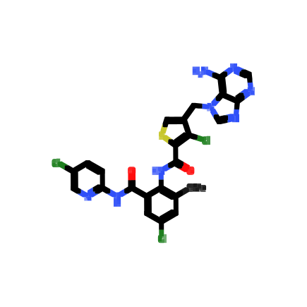 COc1cc(Cl)cc(C(=O)Nc2ccc(Cl)cn2)c1NC(=O)c1scc(Cn2cnc3ncnc(N)c32)c1Cl